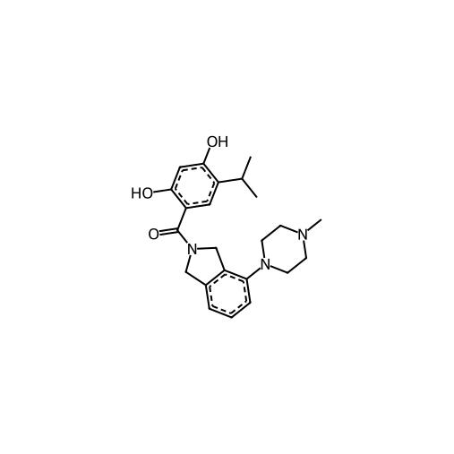 CC(C)c1cc(C(=O)N2Cc3cccc(N4CCN(C)CC4)c3C2)c(O)cc1O